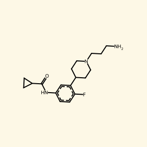 NCCCN1CCC(c2cc(NC(=O)C3CC3)ccc2F)CC1